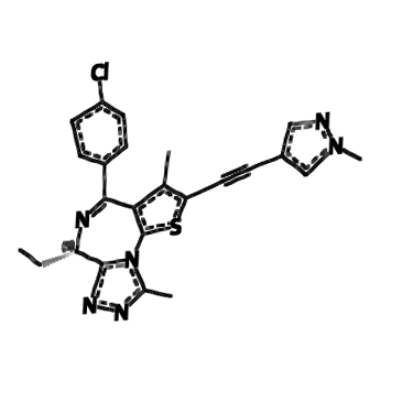 CC[C@@H]1N=C(c2ccc(Cl)cc2)c2c(sc(C#Cc3cnn(C)c3)c2C)-n2c(C)nnc21